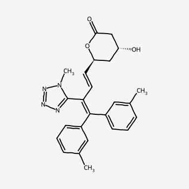 Cc1cccc(C(=C(/C=C/[C@@H]2C[C@@H](O)CC(=O)O2)c2nnnn2C)c2cccc(C)c2)c1